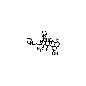 C#Cc1c(F)ccc2cc(O)cc(-c3ncc4c(N5CC6CCC(C5)N6)nc(CCCN5CCOCC5)c(C)c4c3F)c12